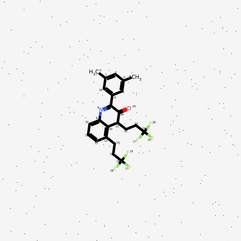 Cc1cc(C)cc(C2=Nc3cccc(CCC(F)(F)F)c3C(CCC(F)(F)F)C2=O)c1